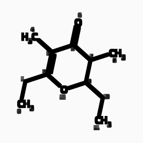 CCC1=C(C)C(=O)C(C)C(CC)O1